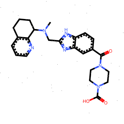 CN(Cc1nc2cc(C(=O)N3CCN(C(=O)O)CC3)ccc2[nH]1)C1CCCc2cccnc21